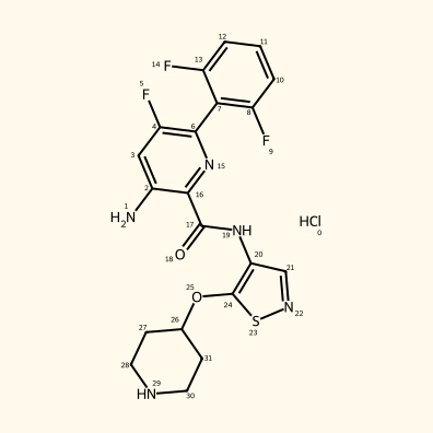 Cl.Nc1cc(F)c(-c2c(F)cccc2F)nc1C(=O)Nc1cnsc1OC1CCNCC1